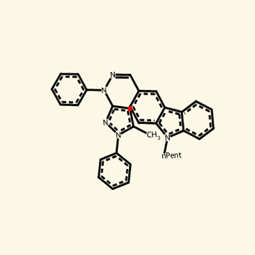 CCCCCn1c2ccccc2c2cc(/C=N\N(c3ccccc3)c3cc(C)n(-c4ccccc4)n3)ccc21